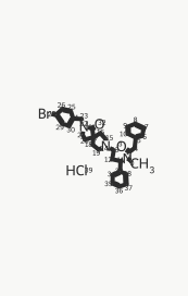 CN(C(=O)Cc1ccccc1)C(CCN1CCC2(CC1)CCN(Cc1ccc(Br)cc1)C2=O)c1ccccc1.Cl